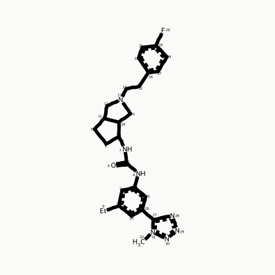 CCc1cc(NC(=O)NC2CCC3CN(CCc4ccc(F)cc4)CC32)cc(-c2nnnn2C)c1